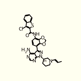 CC=CN1CCC[C@@H](n2nc(-c3ccc(NC(=O)c4sc5ccccc5c4Cl)c4c3OCO4)c3c(N)ncnc32)C1